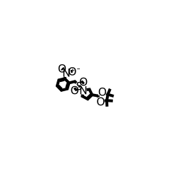 CC1(C)OC(C2=CCN(S(=O)(=O)Cc3ccccc3[N+](=O)[O-])C2)OC1(C)C